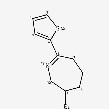 CCC1CCCC(c2cccs2)=NC1